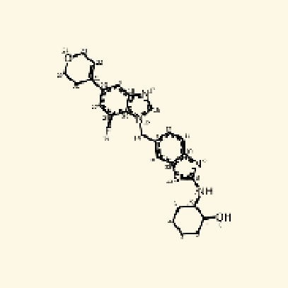 OC1CCCCC1Nc1nc2ccc(Cn3cnc4cc(C5=CCOCC5)cc(F)c43)cc2s1